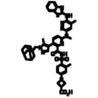 Cc1cc(N2CC(C(=O)O)C2)ccc1S(=O)(=O)NC(=O)c1nc(N(C)c2cc(C)c(Nc3nc4ccccc4s3)nn2)ccc1-c1cnn(CC23CC4CC(CC(C4)C2)C3)c1C